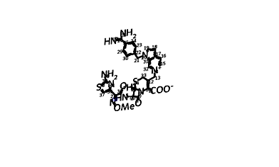 CO/N=C(\C(=O)N[C@@H]1C(=O)N2C(C(=O)[O-])=C(C[n+]3ccc4ccn(Cc5ccc(C(=N)N)cc5)c4c3)CS[C@H]12)c1csc(N)n1